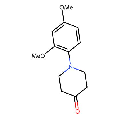 COc1ccc(N2CCC(=O)CC2)c(OC)c1